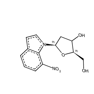 O=[N+]([O-])c1cccc2ccn([C@H]3CC(O)[C@@H](CO)O3)c12